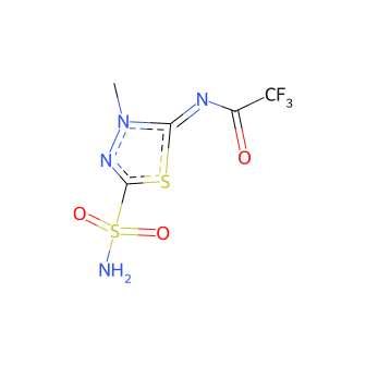 Cn1nc(S(N)(=O)=O)sc1=NC(=O)C(F)(F)F